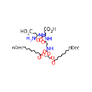 CCCCCCCCCCCCCCCCCC(=O)OCC(COC(=O)CCCCCCCCCCCCCCCCC)OC(=O)NCCC(=O)NC(CCC(=O)O)C(=O)NC(CCC(=O)O)C(N)=O